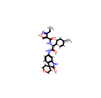 CCc1nocc1C(=O)N[C@H](C(=O)Nc1ccc2c(c1)NC(=O)C21CCOCC1)[C@H]1CC[C@H](C)CC1